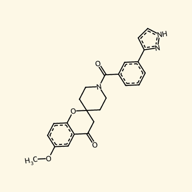 COc1ccc2c(c1)C(=O)CC1(CCN(C(=O)c3cccc(-c4cc[nH]n4)c3)CC1)O2